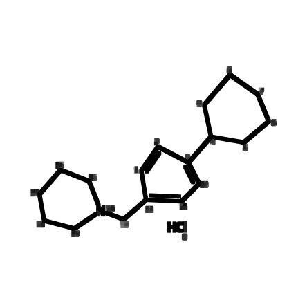 Cl.c1cc(C2CCCCC2)ccc1CN1CCCCC1